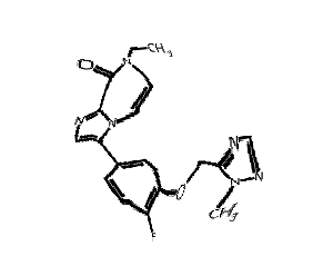 CCn1ccn2c(-c3ccc(F)c(OCc4ncnn4C)c3)cnc2c1=O